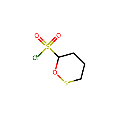 O=S(=O)(Cl)C1CCCSO1